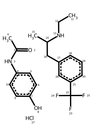 CC(=O)Nc1ccc(O)cc1.CCNC(C)Cc1cccc(C(F)(F)F)c1.Cl